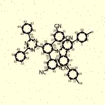 Cc1ccc(-c2ccc3c(c2)c2cc(-c4ccc(C)cc4)ccc2n3-c2c(-c3cc(C#N)cc(C#N)c3)cc(-c3nc(-c4ccccc4)nc(-c4ccccc4)n3)cc2-c2cc(C#N)cc(C#N)c2)cc1